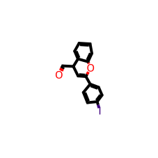 O=CC1C=C(c2ccc(I)cc2)Oc2ccccc21